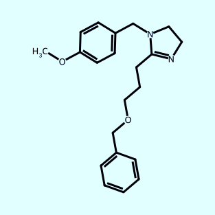 COc1ccc(CN2CCN=C2CCCOCc2ccccc2)cc1